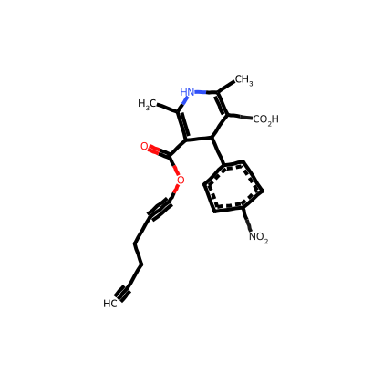 C#CCCC#COC(=O)C1=C(C)NC(C)=C(C(=O)O)C1c1ccc([N+](=O)[O-])cc1